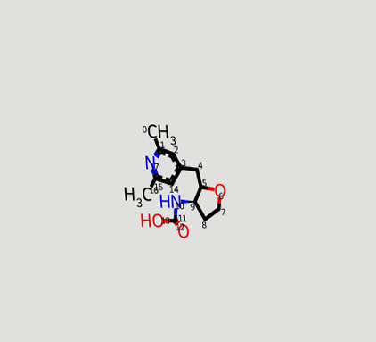 Cc1cc(CC2OCC[C@H]2NC(=O)O)cc(C)n1